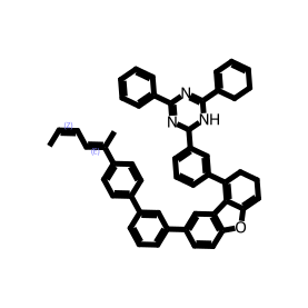 C/C=C\C=C(/C)c1ccc(-c2cccc(-c3ccc4oc5c(c4c3)=C(c3cccc(C4N=C(c6ccccc6)N=C(C6=CC=CCC6)N4)c3)CCC=5)c2)cc1